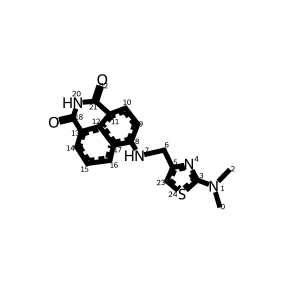 CN(C)c1nc(CNc2ccc3c4c(cccc24)C(=O)NC3=O)cs1